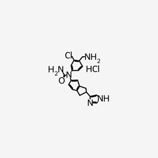 Cl.NCc1ccc(N(C(N)=O)c2ccc3c(c2)CC(c2c[nH]cn2)C3)cc1Cl